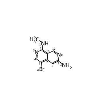 CNc1ncc(Br)c2cc(N)ncc12